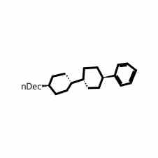 CCCCCCCCCC[C@H]1CC[C@H]([C@H]2CC[C@H](c3ccccc3)CC2)CC1